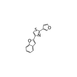 c1ccc2oc(-c3csc(-c4ccoc4)n3)cc2c1